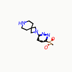 CS(=O)(=O)c1ccc(N2CC3(CCNCC3)C2)nn1